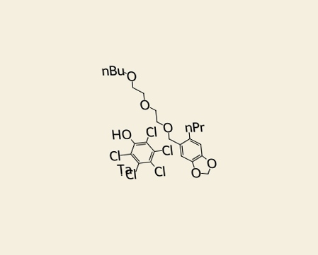 CCCCOCCOCCOCc1cc2c(cc1CCC)OCO2.Oc1c(Cl)c(Cl)c(Cl)c(Cl)c1Cl.[Ta]